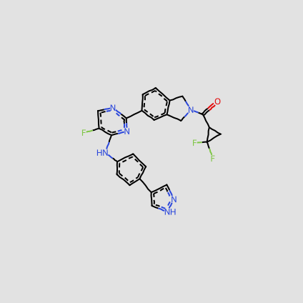 O=C(C1CC1(F)F)N1Cc2ccc(-c3ncc(F)c(Nc4ccc(-c5cn[nH]c5)cc4)n3)cc2C1